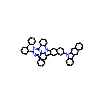 c1ccc(-c2nc(-c3ccccc3-c3ccccc3)nc(-c3ccccc3-n3c4ccccc4c4cc5cc(-n6c7ccccc7c7cc8ccccc8cc76)ccc5cc43)n2)cc1